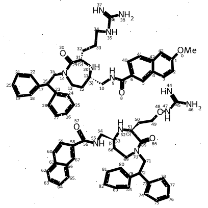 COc1ccc2cc(C(=O)NC[C@@H]3CCN(CC(c4ccccc4)c4ccccc4)C(=O)[C@H](CCCNC(=N)N)N3)ccc2c1.N=C(N)NOCC[C@@H]1N[C@H](CNC(=O)c2ccc3ccccc3c2)CCN(CC(c2ccccc2)c2ccccc2)C1=O